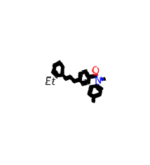 CCc1ccccc1CCCc1ccc(C(=O)N(C)c2ccc(C)cc2)cc1